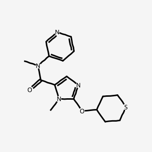 CN(C(=O)c1cnc(OC2CCSCC2)n1C)c1cccnc1